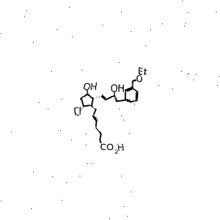 CCOCc1cccc(C[C@H](O)C=C[C@@H]2[C@@H](CC=CCCCC(=O)O)[C@H](Cl)C[C@H]2O)c1